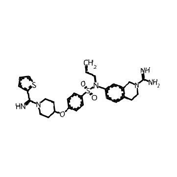 C=CCN(c1ccc2c(c1)CN(C(=N)N)CC2)S(=O)(=O)c1ccc(OC2CCN(C(=N)c3cccs3)CC2)cc1